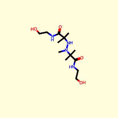 CN(NC(C)(C)C(=O)NCCO)C(C)(C)C(=O)NCCO